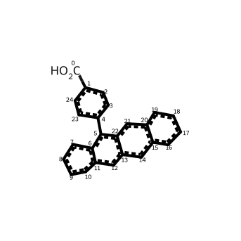 O=C(O)c1ccc(-c2c3ccccc3cc3cc4ccccc4cc23)cc1